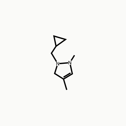 CC1=CN(C)N(CC2CC2)C1